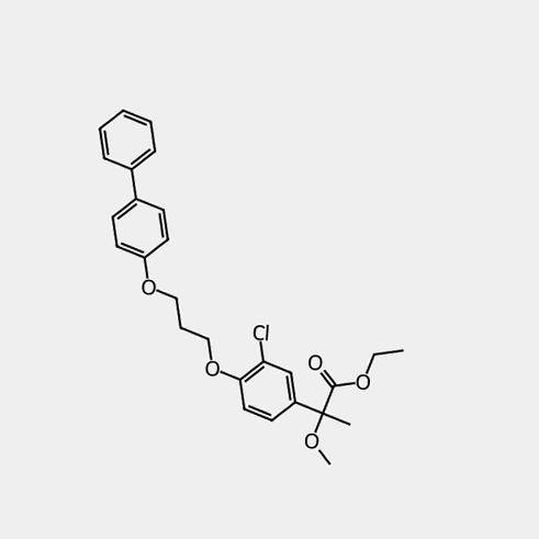 CCOC(=O)C(C)(OC)c1ccc(OCCCOc2ccc(-c3ccccc3)cc2)c(Cl)c1